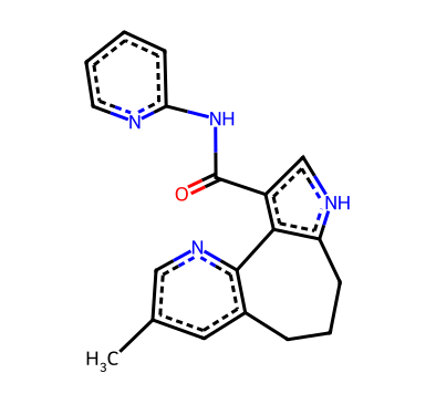 Cc1cnc2c(c1)CCCc1[nH]cc(C(=O)Nc3ccccn3)c1-2